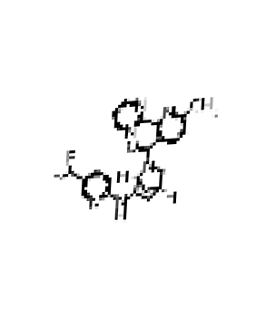 Cc1ccc(C(=O)N2C[C@H]3C[C@@H](Nc4ccc(C(F)F)cn4)[C@@H]2C3)c(-c2ncccn2)n1